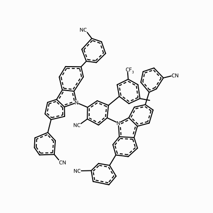 Cc1cc(-c2cc(-n3c4cc(-c5cccc(C#N)c5)ccc4c4ccc(-c5cccc(C#N)c5)cc43)c(C#N)cc2-n2c3cc(-c4cccc(C#N)c4)ccc3c3ccc(-c4cccc(C#N)c4)cc32)cc(C(F)(F)F)c1